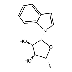 C[C@H]1O[C@@H](n2ccc3ccccc32)[C@H](O)[C@@H]1O